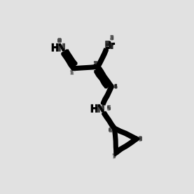 N=C/C(Br)=C\NC1CC1